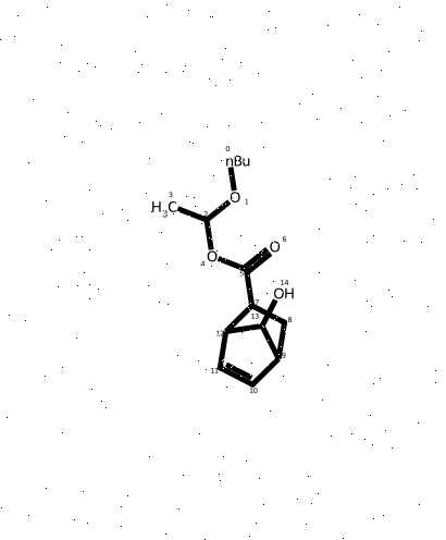 CCCCOC(C)OC(=O)C1CC2C=CC1C2O